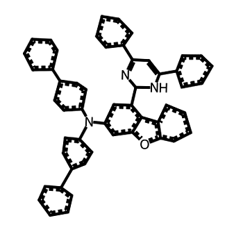 C1=C(c2ccccc2)NC(c2cc(N(c3ccc(-c4ccccc4)cc3)c3ccc(-c4ccccc4)cc3)cc3oc4ccccc4c23)N=C1c1ccccc1